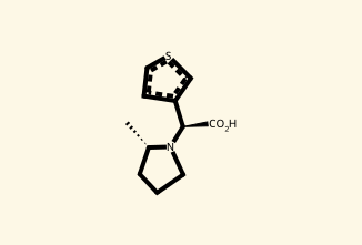 C[C@H]1CCCN1[C@H](C(=O)O)c1ccsc1